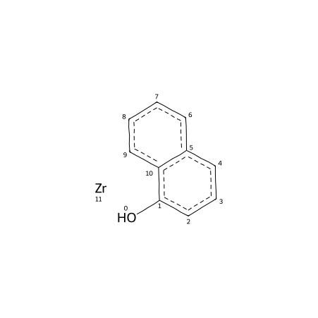 Oc1cccc2ccccc12.[Zr]